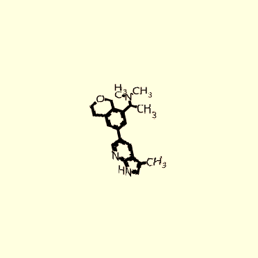 Cc1c[nH]c2ncc(-c3cc4c(c(C(C)N(C)C)c3)COCC4)cc12